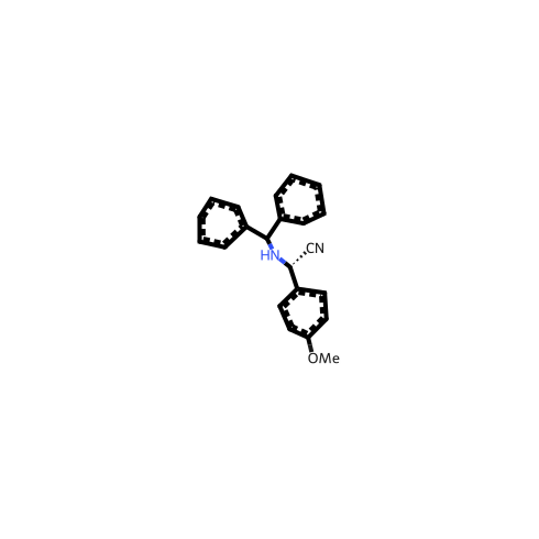 COc1ccc([C@@H](C#N)NC(c2ccccc2)c2ccccc2)cc1